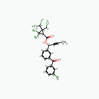 CC#CC(OC(=O)C1C(Br)(Br)C1(CCl)C(F)F)c1cccc(C(=O)c2cccc(Br)c2)c1